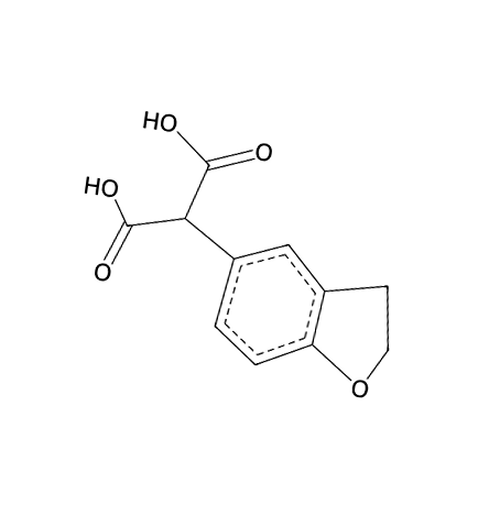 O=C(O)C(C(=O)O)c1ccc2c(c1)CCO2